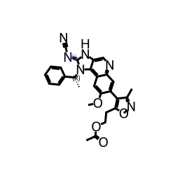 COc1cc2c(cc1-c1c(C)noc1CCOC(C)=O)ncc1[nH]/c(=N\C#N)n([C@H](C)c3ccccc3)c12